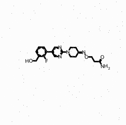 NC(=O)CCON=C1CCN(c2ncc(-c3cccc(CO)c3F)cn2)CC1